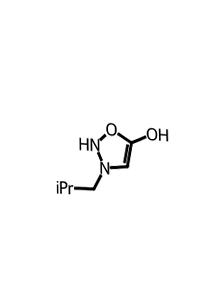 CC(C)CN1C=C(O)ON1